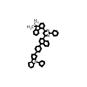 CC1(C)c2ccccc2-c2c(-c3cc(-c4ccc(-c5ccc(-c6ccc7c(c6)N(c6ccccc6)C6C=CC=CC76)cc5)c5ccccc45)nc(-c4ccccc4)n3)cccc21